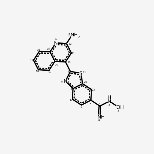 N=C(NO)c1ccc2nc(-c3cc(N)nc4ccccc34)sc2c1